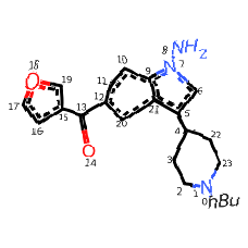 CCCCN1CCC(c2cn(N)c3ccc(C(=O)c4ccoc4)cc23)CC1